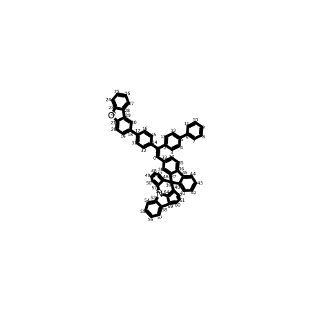 C(=C(/c1ccc(-c2ccccc2)cc1)c1ccc(-c2ccc3oc4ccccc4c3c2)cc1)/c1ccc2c(c1)C1(c3ccccc3-2)c2ccccc2-n2c3ccccc3c3cccc1c32